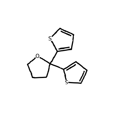 c1csc(C2(c3cccs3)CCCO2)c1